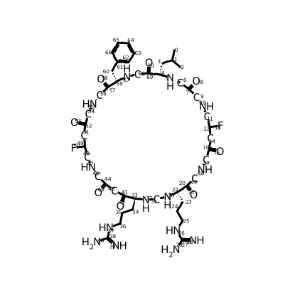 CC(C)C[C@@H]1NCC(=O)CNCC(F)CC(=O)CNCC(=O)[C@H](CCCNC(=N)N)NCN[C@@H](CCCNC(=N)N)C(=O)CC(=O)CNCC(F)CC(=O)CNCC(=O)[C@H](Cc2ccccc2)NCC1=O